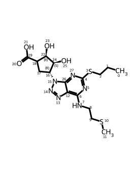 CCCSc1nc(NCCSC)c2nnn([C@@H]3CC(C(=O)O)[C@@H](O)[C@H]3O)c2n1